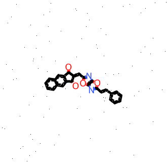 O=C1C(=Cc2nc3oc(/C=C/c4ccccc4)nc3o2)C(=O)c2cc3ccccc3cc21